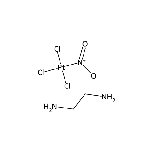 NCCN.O=[N+]([O-])[Pt]([Cl])([Cl])[Cl]